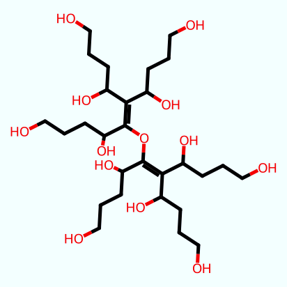 OCCCC(O)C(OC(=C(C(O)CCCO)C(O)CCCO)C(O)CCCO)=C(C(O)CCCO)C(O)CCCO